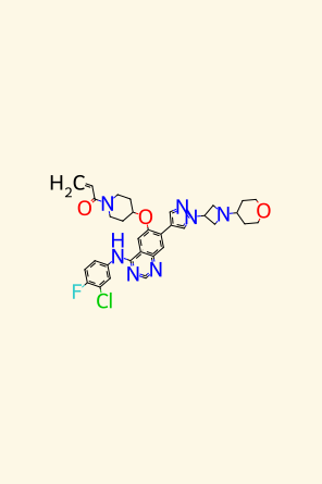 C=CC(=O)N1CCC(Oc2cc3c(Nc4ccc(F)c(Cl)c4)ncnc3cc2-c2cnn(C3CN(C4CCOCC4)C3)c2)CC1